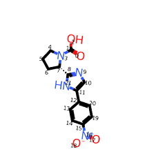 O=C(O)N1CCC[C@H]1c1ncc(-c2ccc([N+](=O)[O-])cc2)[nH]1